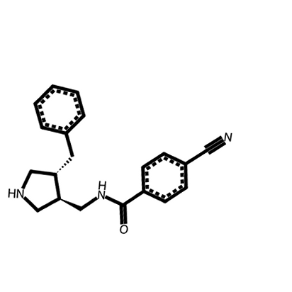 N#Cc1ccc(C(=O)NC[C@H]2CNC[C@@H]2Cc2ccccc2)cc1